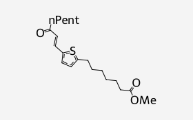 CCCCCC(=O)C=Cc1ccc(CCCCCCC(=O)OC)s1